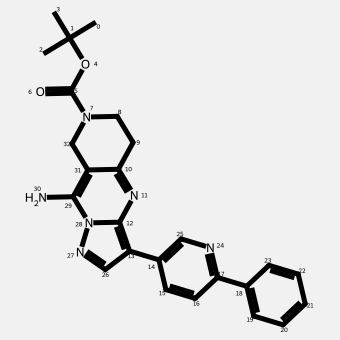 CC(C)(C)OC(=O)N1CCc2nc3c(-c4ccc(-c5ccccc5)nc4)cnn3c(N)c2C1